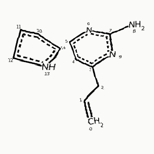 C=CCc1ccnc(N)n1.c1cc[nH]c1